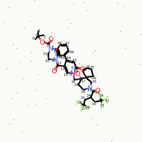 CC(C)(C)OC(=O)N1CCN(C(=O)c2cn(C[C@]3(O)CCN(C(=O)C(CC(F)(F)F)CC(F)(F)F)CC34CCCC4)c(=O)cc2-c2ccccc2)CC1